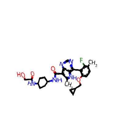 Cc1ccc(OCC2CC2)c(-c2ncnc3c(C(=O)NC4CCC(NC(=O)CO)CC4)c(C)[nH]c23)c1F